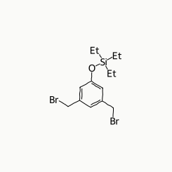 CC[Si](CC)(CC)Oc1cc(CBr)cc(CBr)c1